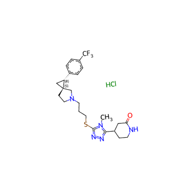 Cl.Cn1c(SCCCN2CC[C@]3(C[C@@H]3c3ccc(C(F)(F)F)cc3)C2)nnc1C1CCNC(=O)C1